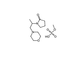 CC(CN1CCOCC1)N1CCCC1=O.COS(=O)(=O)O